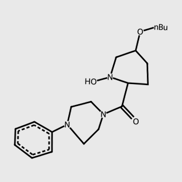 CCCCOC1CCC(C(=O)N2CCN(c3ccccc3)CC2)N(O)C1